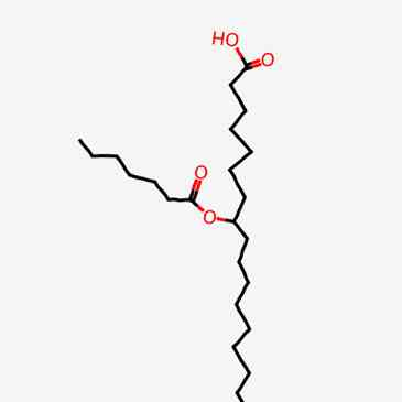 CCCCCCCCCC(CCCCCCC(=O)O)OC(=O)CCCCCC